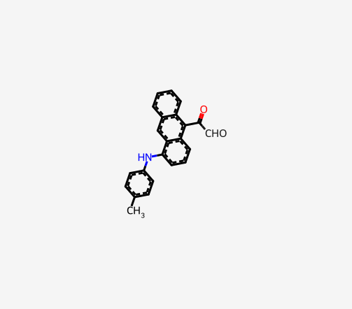 Cc1ccc(Nc2cccc3c(C(=O)C=O)c4ccccc4cc23)cc1